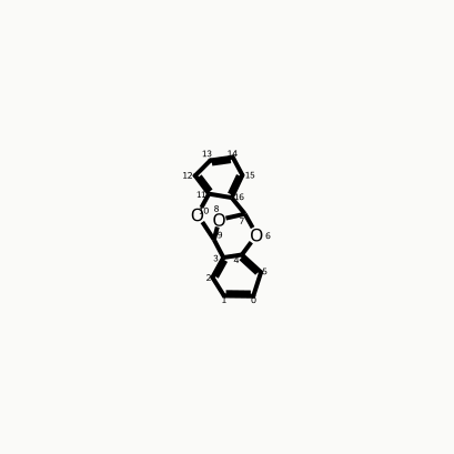 c1ccc2c(c1)OC1OC2Oc2ccccc21